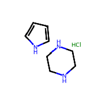 C1CNCCN1.Cl.c1cc[nH]c1